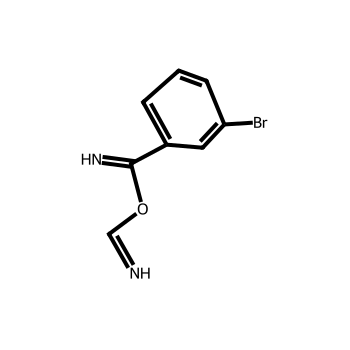 N=COC(=N)c1cccc(Br)c1